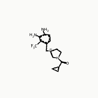 Nc1ccc(C[C@H]2CCN(C(=O)C3CC3)C2)c(C(F)(F)F)c1N